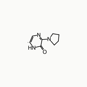 O=c1[nH][c]cnc1N1CCCC1